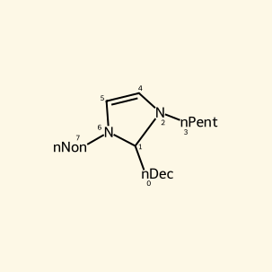 CCCCCCCCCCC1N(CCCCC)C=CN1CCCCCCCCC